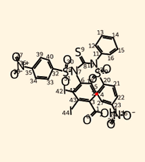 O=C(O)c1ccc(N(C(=S)N(c2ccccc2)S(=O)(=O)c2ccc([N+](=O)[O-])cc2)S(=O)(=O)c2ccc([N+](=O)[O-])cc2)c(I)c1I